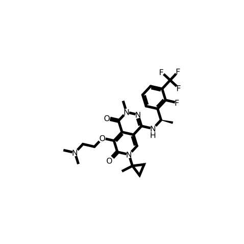 C[C@@H](Nc1nn(C)c(=O)c2c(OCCN(C)C)c(=O)n(C3(C)CC3)cc12)c1cccc(C(F)(F)F)c1F